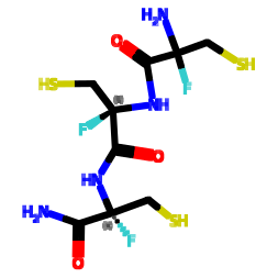 NC(=O)[C@](F)(CS)NC(=O)[C@](F)(CS)NC(=O)C(N)(F)CS